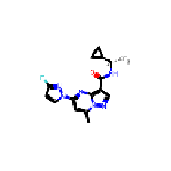 Cc1cc(-n2ccc(F)n2)nc2c(C(=O)N[C@H](C3CC3)C(F)(F)F)cnn12